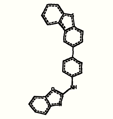 c1ccc2oc(Nc3ccc(-c4ccc5sc6ccccc6c5c4)cc3)nc2c1